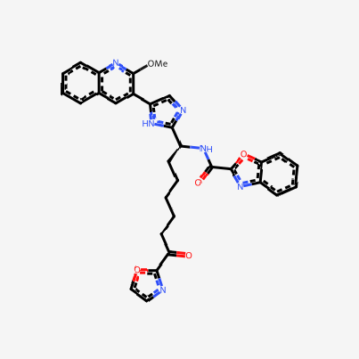 COc1nc2ccccc2cc1-c1cnc([C@H](CCCCCC(=O)c2ncco2)NC(=O)c2nc3ccccc3o2)[nH]1